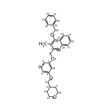 Cc1c(COc2cncc(OCC3CCOCC3)c2)nc2ccccc2c1OCc1ccccc1